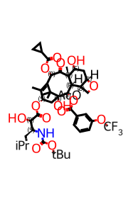 CC(=O)O[C@@]12CO[C@@H]1C[C@H](O)[C@@]1(C)C(=O)[C@H](OC(=O)C3CC3)C3=C(C)[C@@H](OC(=O)[C@H](O)[C@H](CC(C)C)NC(=O)OC(C)(C)C)C[C@@](O)([C@@H](OC(=O)c4cccc(OC(F)(F)F)c4)[C@H]21)C3(C)C